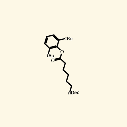 CCCCCCCCCCCCCCCC(=O)Oc1c(C(C)(C)C)cccc1C(C)(C)C